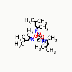 C/C(CC(C)C)=N\O[Si](C)(O/N=C(\C)CC(C)C)O/N=C(\C)CC(C)C